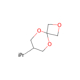 CC(C)C1COC2(COC2)OC1